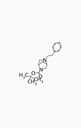 CC(C)(C)OC(=O)N1CC2CC1CN2CCc1ccccc1